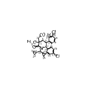 CC1(CC(=O)O)CC(c2cccc(Cl)c2)C(c2ccc(Cl)cc2)N(C(C2CC2)C2CC2)C1=O